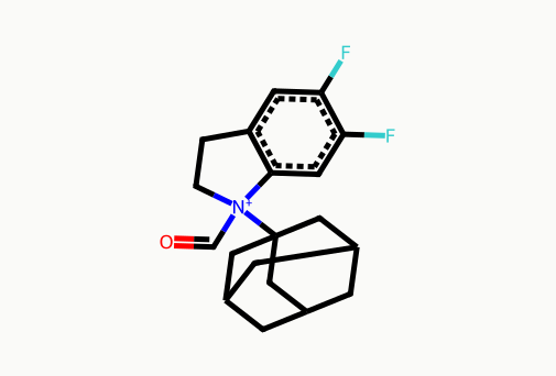 O=C[N+]1(C23CC4CC(CC(C4)C2)C3)CCc2cc(F)c(F)cc21